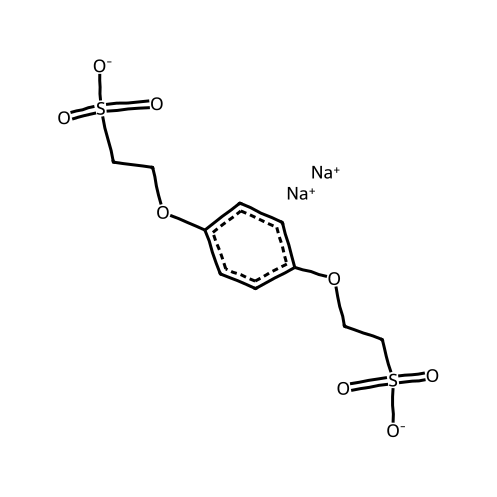 O=S(=O)([O-])CCOc1ccc(OCCS(=O)(=O)[O-])cc1.[Na+].[Na+]